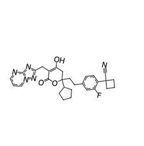 N#CC1(c2ccc(CCC3(C4CCCC4)CC(O)=C(Cc4nc5ncccn5n4)C(=O)O3)cc2F)CCC1